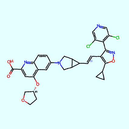 O=C(O)c1cc(O[C@@H]2CCOC2)c2cc(N3CC4C(/C=C/c5c(-c6c(Cl)cncc6Cl)noc5C5CC5)C4C3)ccc2n1